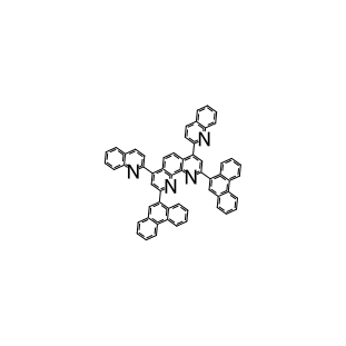 c1ccc2nc(-c3cc(-c4cc5ccccc5c5ccccc45)nc4c3ccc3c(-c5ccc6ccccc6n5)cc(-c5cc6ccccc6c6ccccc56)nc34)ccc2c1